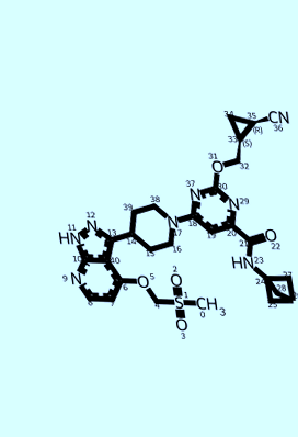 CS(=O)(=O)COc1ccnc2[nH]nc(C3CCN(c4cc(C(=O)NC56CC(C5)C6)nc(OC[C@H]5C[C@H]5C#N)n4)CC3)c12